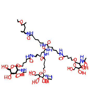 CCOCC(C)CC(C)CNC(=O)CCCCCNC(=O)C(CCCCNC(=O)CCCCOC1OC(CO)C(O)C(O)C1NC(C)=O)NC(=O)C(CCCCNC(=O)CCCCOC1OC(CO)C(O)C(O)C1NC(C)=O)NC(=O)CCCCOC1OC(CO)C(O)C(O)C1NC(C)=O